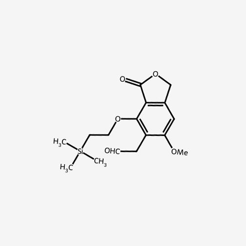 COc1cc2c(c(OCC[Si](C)(C)C)c1CC=O)C(=O)OC2